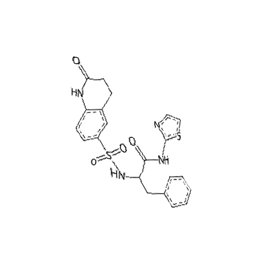 O=C1CCc2cc(S(=O)(=O)NC(Cc3ccccc3)C(=O)Nc3nccs3)ccc2N1